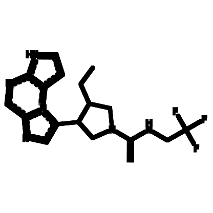 C=C(NCC(F)(F)F)N1CC(CC)C(c2cnc3cnc4[nH]ccc4n23)C1